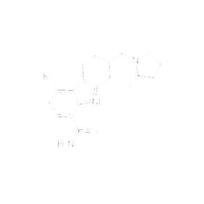 NC(=O)c1ccc(Br)c2c3c([nH]c12)CC(CN1CCCC1=O)CC3